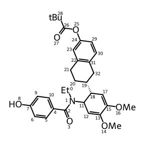 CCN(C(=O)c1ccc(O)cc1)C1C=C(OC)C(OC)=CC1[C@@H]1CCc2cc(OC(=O)C(C)(C)C)ccc2C1